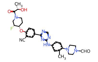 Cc1cc(Nc2ncnc(-c3ccc(O[C@H]4CCN(C(=O)[C@H](C)O)C[C@H]4F)c(C#N)c3)n2)ccc1N1CCN(C=O)CC1